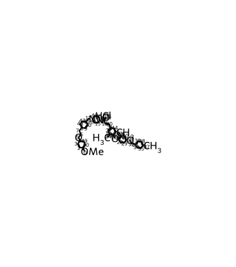 COc1ccc(OCCc2ccc(CN3CCN(C(=O)C=Cc4cc(C)c(Oc5ccc(OCc6ccc(C)cc6)cn5)c(C)c4)CC3)cc2)cc1.Cl